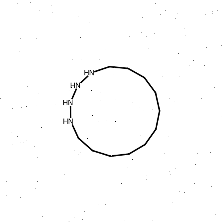 C1CCCCCNNNNCCCCC1